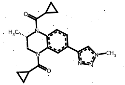 C[C@H]1CN(C(=O)C2CC2)c2cc(-c3cn(C)nn3)ccc2N1C(=O)C1CC1